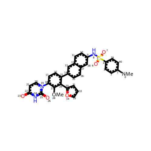 CNc1ccc(S(=O)(=O)Nc2ccc3cc(-c4ccc(-n5ccc(=O)[nH]c5=O)c(OC)c4-c4ccco4)ccc3c2)cc1